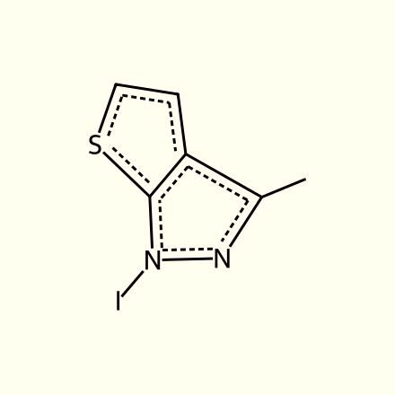 Cc1nn(I)c2sccc12